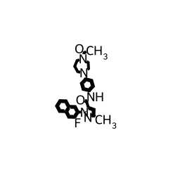 CC(=O)N1CCCN(c2ccc(NC(=O)c3cc(C)nn3-c3cc4ccccc4cc3F)cc2)CC1